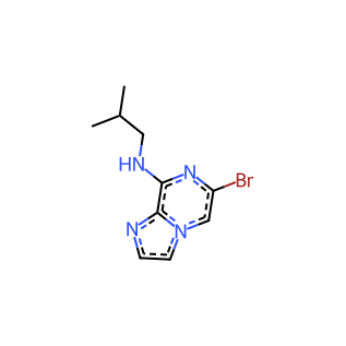 CC(C)CNc1nc(Br)cn2ccnc12